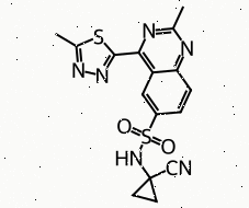 Cc1nc(-c2nnc(C)s2)c2cc(S(=O)(=O)NC3(C#N)CC3)ccc2n1